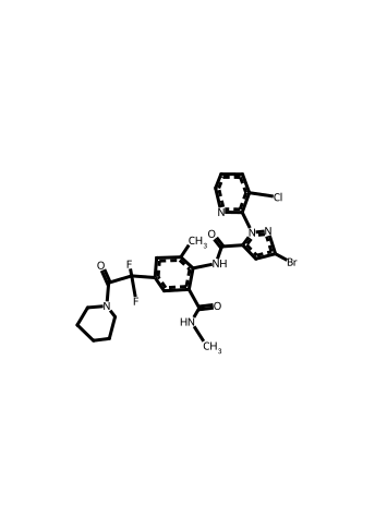 CNC(=O)c1cc(C(F)(F)C(=O)N2CCCCC2)cc(C)c1NC(=O)c1cc(Br)nn1-c1ncccc1Cl